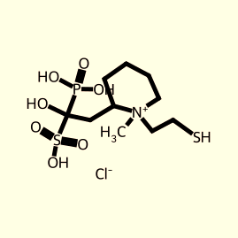 C[N+]1(CCS)CCCCC1CC(O)(P(=O)(O)O)S(=O)(=O)O.[Cl-]